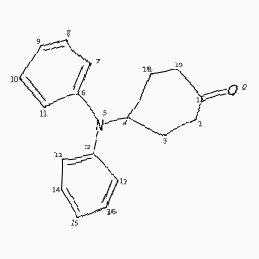 O=C1CCC(N(c2ccccc2)c2ccccc2)CC1